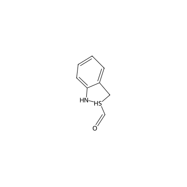 O=C[SH]1Cc2ccccc2N1